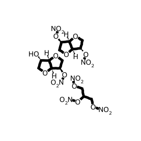 O=[N+]([O-])OCC(CO[N+](=O)[O-])O[N+](=O)[O-].O=[N+]([O-])O[C@@H]1CO[C@H]2[C@@H]1OC[C@@H]2O.O=[N+]([O-])O[C@H]1CO[C@H]2[C@@H]1OC[C@H]2O[N+](=O)[O-]